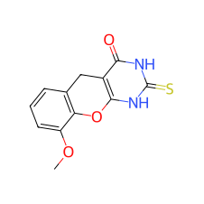 COc1cccc2c1Oc1[nH]c(=S)[nH]c(=O)c1C2